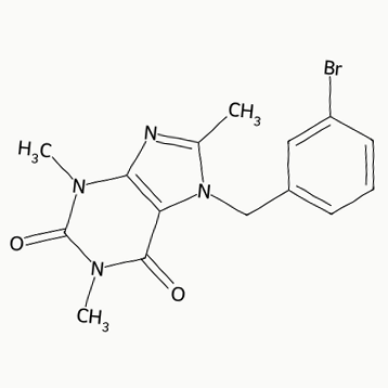 Cc1nc2c(c(=O)n(C)c(=O)n2C)n1Cc1cccc(Br)c1